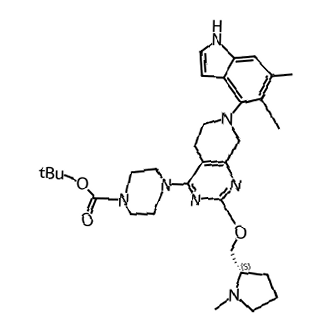 Cc1cc2[nH]ccc2c(N2CCc3c(nc(OC[C@@H]4CCCN4C)nc3N3CCN(C(=O)OC(C)(C)C)CC3)C2)c1C